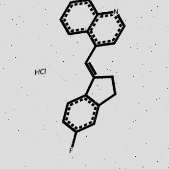 Cl.Fc1ccc2c(c1)CC/C2=C\c1ccnc2ccccc12